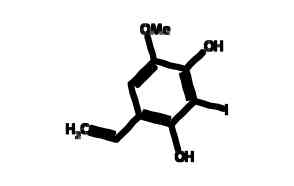 C=Cc1cc(OC)c(O)c(I)c1O